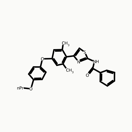 CCCOc1ccc(Oc2cc(C)c(-c3csc(NC(=O)c4ccccc4)n3)c(C)c2)cc1